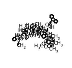 C=CCOC(=O)[C@H](Cc1ccccc1)NC(=O)[C@H](C)[C@@H](OC)[C@@H]1CCCN1C(=O)C[C@@H](OC)[C@H]([C@@H](C)CC)N(C)C(=O)[C@@H](NC(=O)[C@H](C(C)C)[N+](C)(C)Cc1ccc(O[C@@H]2O[C@H](C(=O)OC)[C@@H](OC(C)=O)[C@H](OC(C)=O)[C@H]2OC(C)=O)c(NC(=O)CCNC(=O)OCC2c3ccccc3-c3ccccc32)c1)C(C)C